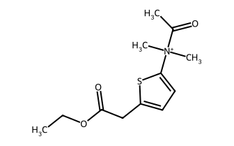 CCOC(=O)Cc1ccc([N+](C)(C)C(C)=O)s1